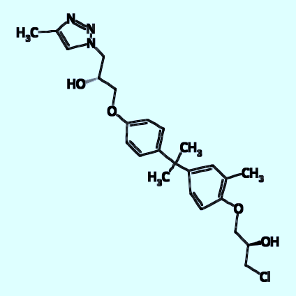 Cc1cn(C[C@@H](O)COc2ccc(C(C)(C)c3ccc(OC[C@@H](O)CCl)c(C)c3)cc2)nn1